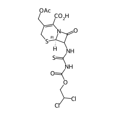 CC(=O)OCC1=C(C(=O)O)N2C(=O)C(NC(=S)NC(=O)OCC(Cl)Cl)[C@H]2SC1